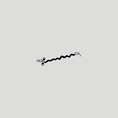 CCCCCC=CCCCCCCCS(=O)(=O)O